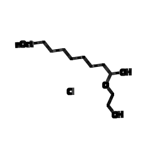 CCCCCCCCCCCCCCCC(O)OCCO.[C]